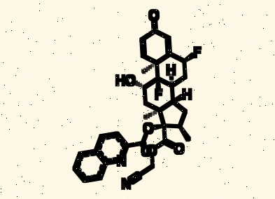 C[C@@H]1C[C@H]2[C@@H]3C[C@H](F)C4=CC(=O)C=C[C@]4(C)[C@@]3(F)[C@@H](O)C[C@]2(C)[C@@]1(OC(=O)c1ccc2ccccc2n1)C(=O)OCC#N